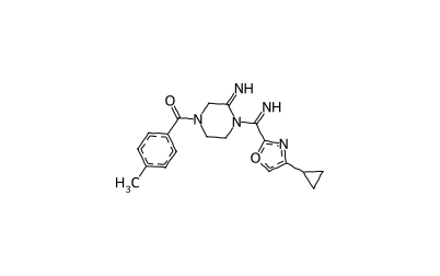 Cc1ccc(C(=O)N2CCN(C(=N)c3nc(C4CC4)co3)C(=N)C2)cc1